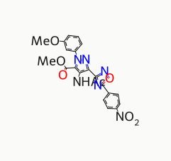 COC(=O)c1c(NC(C)=O)c(-c2noc(-c3ccc([N+](=O)[O-])cc3)n2)nn1-c1cccc(OC)c1